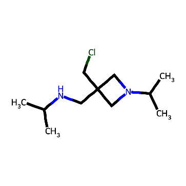 CC(C)NCC1(CCl)CN(C(C)C)C1